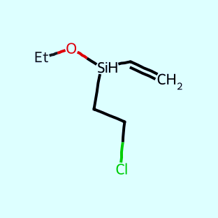 C=C[SiH](CCCl)OCC